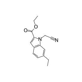 CCOC(=O)c1cc2ccc(CC)cc2n1CC#N